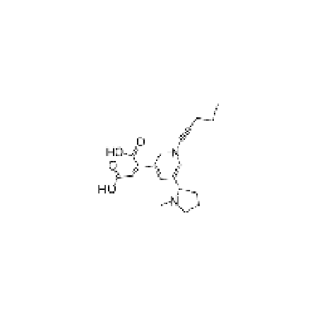 CCCC#CN1C=C(C2CCCN2C)C=C(/C(=C/C(=O)O)C(=O)O)C1